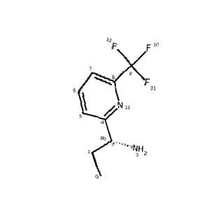 CC[C@@H](N)c1cccc(C(F)(F)F)n1